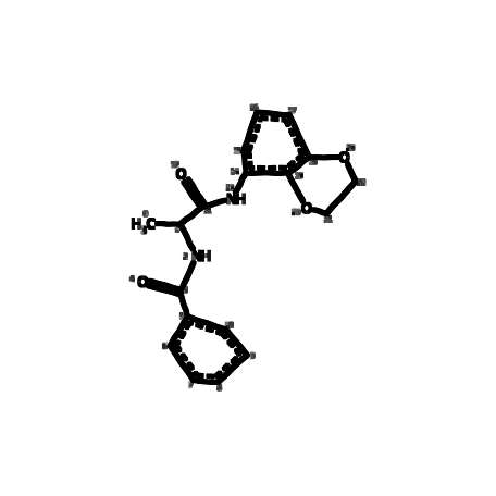 CC(NC(=O)c1ccccc1)C(=O)Nc1cccc2c1OCCO2